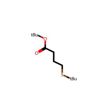 CC(C)(C)OC(=O)CCCSC(C)(C)C